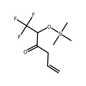 C=CCC(=O)C(O[Si](C)(C)C)C(F)(F)F